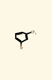 FC(F)(F)c1[c]c(Br)ccc1